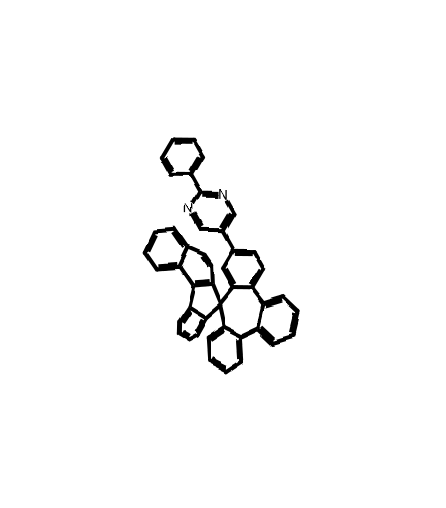 c1ccc(-c2ncc(-c3ccc4c(c3)C3(c5ccccc5-c5ccccc5-4)c4ccccc4-c4c3ccc3ccccc43)cn2)cc1